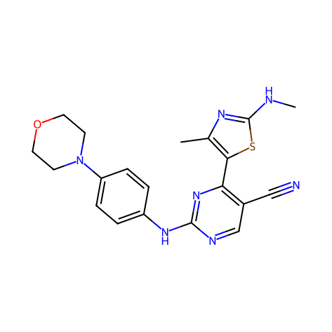 CNc1nc(C)c(-c2nc(Nc3ccc(N4CCOCC4)cc3)ncc2C#N)s1